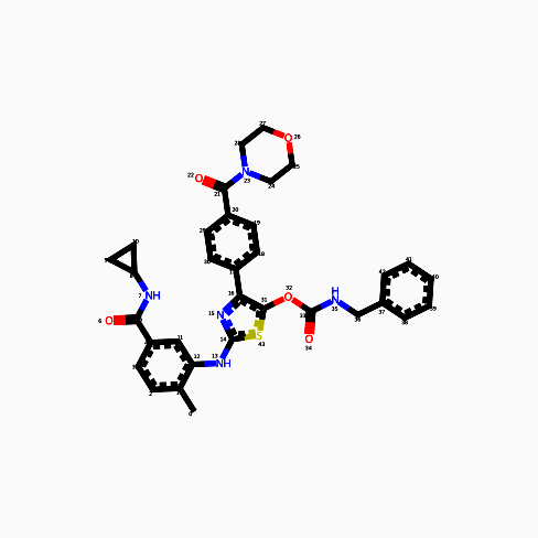 Cc1ccc(C(=O)NC2CC2)cc1Nc1nc(-c2ccc(C(=O)N3CCOCC3)cc2)c(OC(=O)NCc2ccccc2)s1